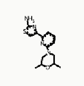 CC1CN(c2cccc(-c3csc(N)n3)n2)CC(C)O1